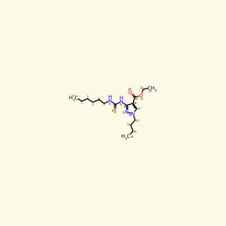 CCCCCCNC(=S)Nc1nn(CCCC)cc1C(=O)OCC